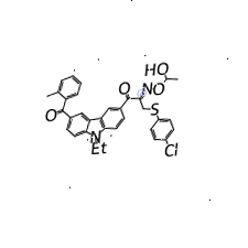 CCn1c2ccc(C(=O)/C(CSc3ccc(Cl)cc3)=N/OC(C)O)cc2c2cc(C(=O)c3ccccc3C)ccc21